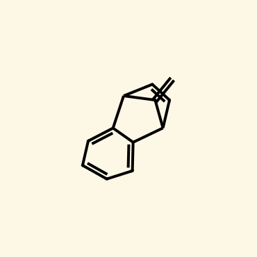 C=C1C2C=CC1c1ccccc12